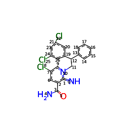 N=c1c(C(N)=O)cc(Cl)cn1CC(c1ccccc1)c1cc(Cl)cc(Cl)c1